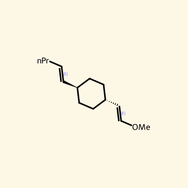 CCC/C=C/[C@H]1CC[C@H](/C=C/OC)CC1